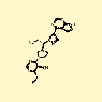 N#CC[C@@H]([C@H]1CCN(c2ncnc(CF)c2C#N)C1)n1cc(-c2ncnc3[nH]ccc23)cn1